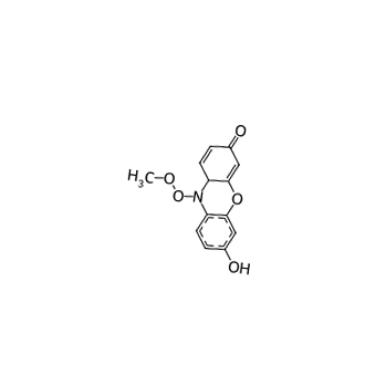 COON1c2ccc(O)cc2OC2=CC(=O)C=CC21